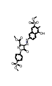 COC(=O)C1=NN(c2ccc(S(=O)(=O)OC)cc2)C(=O)C1/N=N/c1ccc2c(O)c(C)c(S(=O)(=O)OC)cc2c1